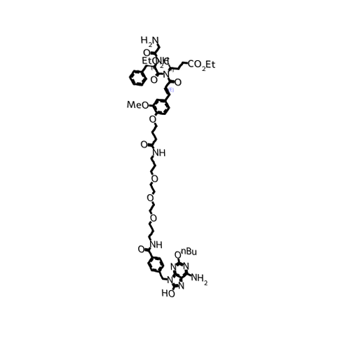 CCCCOc1nc(N)c2nc(O)n(Cc3ccc(C(=O)NCCCOCCOCCOCCCNC(=O)CCCOc4ccc(/C=C/C(=O)N(C(=O)[C@@H](Cc5ccccc5)NC(=O)CN)[C@H](CCC(=O)OCC)C(=O)OCC)cc4OC)cc3)c2n1